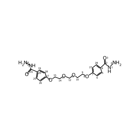 NNC(=O)c1ccc(OCCOCOCCOc2ccc(C(=O)NN)cc2)cc1